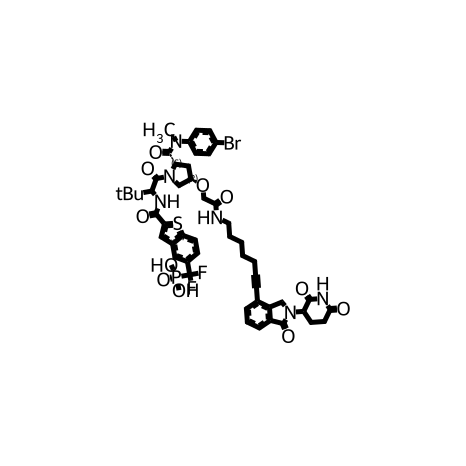 CN(C(=O)[C@@H]1C[C@@H](OCC(=O)NCCCCCC#Cc2cccc3c2CN(C2CCC(=O)NC2=O)C3=O)CN1C(=O)C(NC(=O)c1cc2cc(C(F)(F)P(=O)(O)O)ccc2s1)C(C)(C)C)c1ccc(Br)cc1